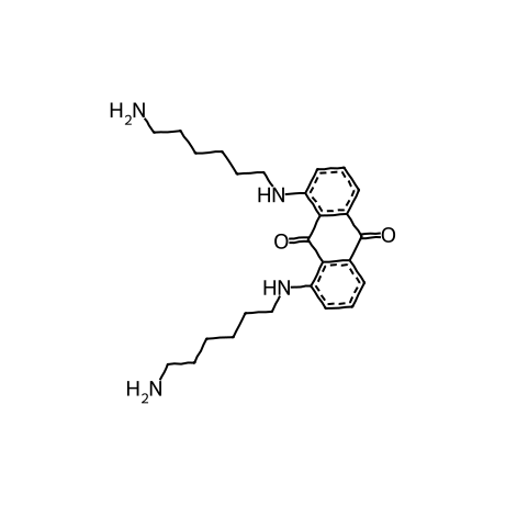 NCCCCCCNc1cccc2c1C(=O)c1c(NCCCCCCN)cccc1C2=O